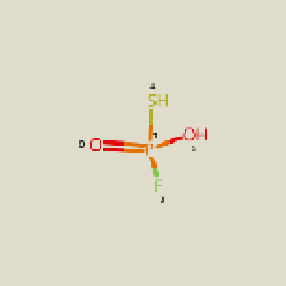 O=P(O)(F)S